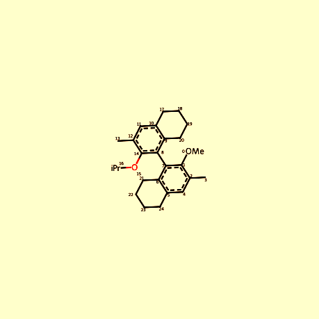 COc1c(C)cc2c(c1-c1c3c(cc(C)c1OC(C)C)CCCC3)CCCC2